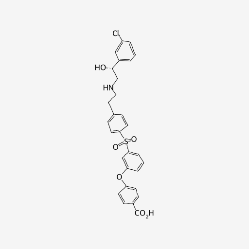 O=C(O)c1ccc(Oc2cccc(S(=O)(=O)c3ccc(CCNC[C@H](O)c4cccc(Cl)c4)cc3)c2)cc1